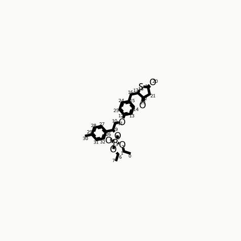 CCOP(=O)(OCC)OC(COc1ccc(CC2SC(=O)CC2=O)cc1)c1ccc(C)cc1